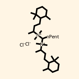 CCCCCC([N+](C)(C)C(C)CCC1C(C)CCCC1(C)C)[N+](C)(C)C(C)CCC1C(C)CCCC1(C)C.[Cl-].[Cl-]